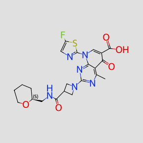 Cc1nc(N2CC(C(=O)NC[C@@H]3CCCCO3)C2)nc2c1c(=O)c(C(=O)O)cn2-c1ncc(F)s1